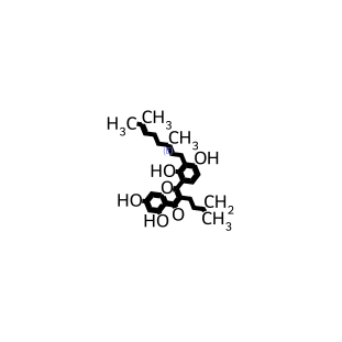 C=C(C)CCc1c(-c2ccc(O)c(C/C=C(\C)CCC=C(C)C)c2O)oc2cc(O)cc(O)c2c1=O